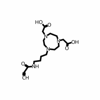 C#CC(=O)NCCCCN1CCN(CC(=O)O)CCN(CC(=O)O)CC1